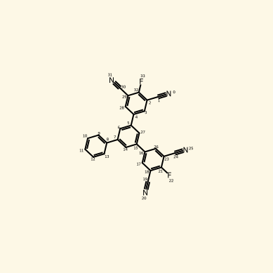 N#Cc1cc(-c2cc(-c3ccccc3)cc(-c3cc(C#N)c(F)c(C#N)c3)c2)cc(C#N)c1F